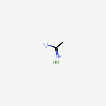 CC(=N)N.Cl